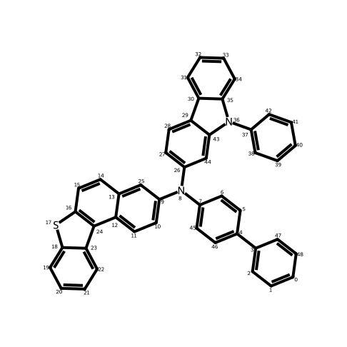 c1ccc(-c2ccc(N(c3ccc4c(ccc5sc6ccccc6c54)c3)c3ccc4c5ccccc5n(-c5ccccc5)c4c3)cc2)cc1